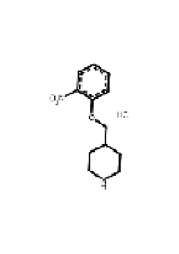 Cl.O=[N+]([O-])c1ccccc1OCC1CCNCC1